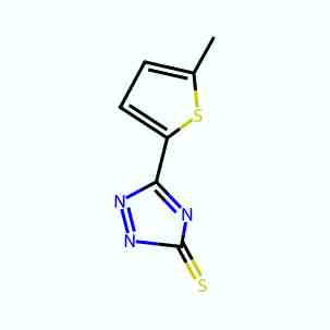 Cc1ccc(C2=NC(=S)N=N2)s1